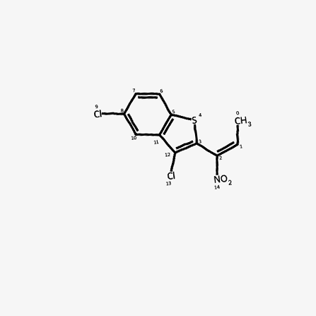 C/C=C(\c1sc2ccc(Cl)cc2c1Cl)[N+](=O)[O-]